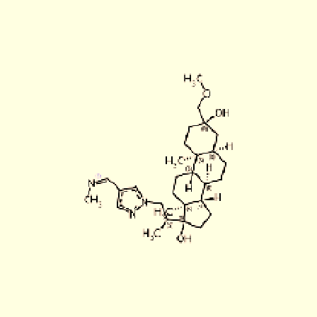 C/N=C\c1cnn(C[C@H](C)[C@@]2(O)CC[C@H]3[C@@H]4CC[C@@H]5C[C@@](O)(COC)CC[C@]5(C)[C@H]4CC[C@@]32C)c1